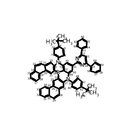 CC(C)(C)c1ccc(N2c3cc4ccc5ccccc5c4cc3B3c4cc5c(ccc6ccccc65)cc4N(c4ccc(C(C)(C)C)cc4)c4cc(-c5nc(-c6ccccc6)cc(-c6ccccc6)n5)cc2c43)cc1